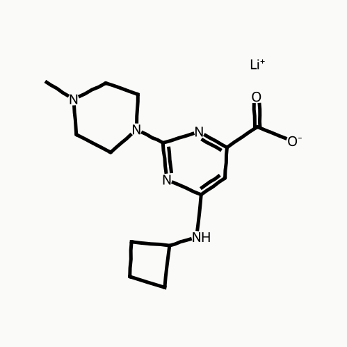 CN1CCN(c2nc(NC3CCC3)cc(C(=O)[O-])n2)CC1.[Li+]